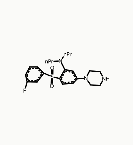 CCCN(CCC)c1cc(N2CCNCC2)ccc1S(=O)(=O)c1cccc(F)c1